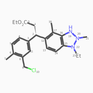 CCOC(=O)C[C@@H](c1ccc(C)c(CCl)c1)c1ccc2c(c1C)NN(C)N2CC